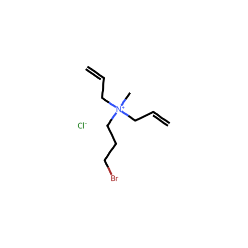 C=CC[N+](C)(CC=C)CCCBr.[Cl-]